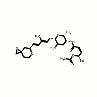 CC(=O)O[C@@H](C)/C=C\C(=O)N[C@@H]1CC(N)[C@H](C/C=C(C)/C=C/[C@@H]2C[C@@]3(CCO2)CO3)O[C@@H]1C